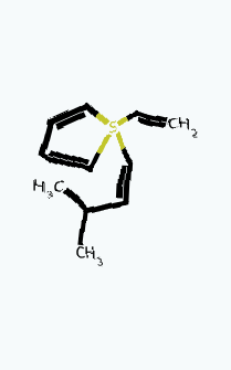 C=CS1(/C=C\C(C)C)C=CC=C1